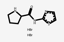 Br.Br.O=C(Nc1nccs1)C1CCCN1